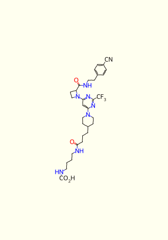 N#Cc1ccc(CCNC(=O)C2CCN2c2cc(N3CCC(CCCC(=O)NCCCCNC(=O)O)CC3)nc(C(F)(F)F)n2)cc1